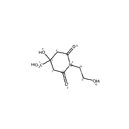 O=C1CC(O)(C(=O)O)CC(=O)N1CCO